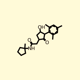 Cc1cc(C)c(C2C(=O)C(CC(=O)NC3(C)CCCC3)CC2O)c(C)c1